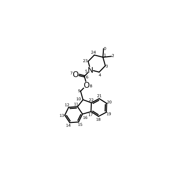 CC1(C)CCN(C(=O)OCC2c3ccccc3-c3ccccc32)CC1